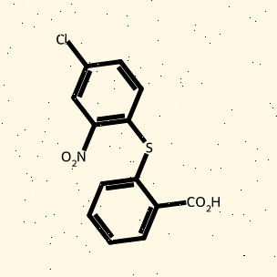 O=C(O)c1ccccc1Sc1ccc(Cl)cc1[N+](=O)[O-]